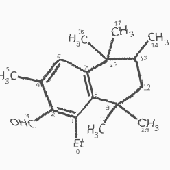 CCc1c(C=O)c(C)cc2c1C(C)(C)CC(C)C2(C)C